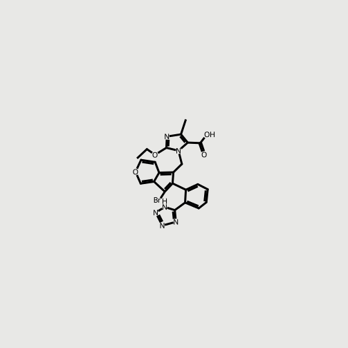 CCOc1nc(C)c(C(=O)O)n1Cc1c2ccocc-2c(Br)c1-c1ccccc1-c1nnn[nH]1